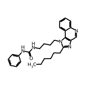 CCCCCCc1nc2cnc3ccccc3c2n1CCCCNC(=O)Nc1ccccc1